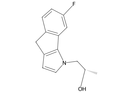 C[C@H](O)Cn1ccc2c1-c1cc(F)ccc1C2